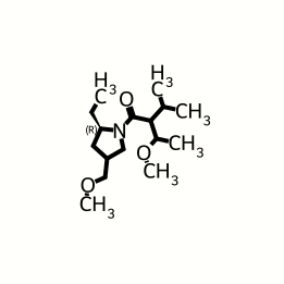 CC[C@@H]1CC(COC)CN1C(=O)C(C(C)C)C(C)OC